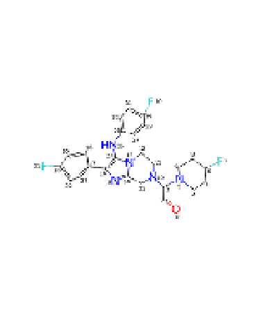 O=CC(N1CCC(F)CC1)N1CCn2c(nc(-c3ccc(F)cc3)c2Nc2ccc(F)cc2)C1